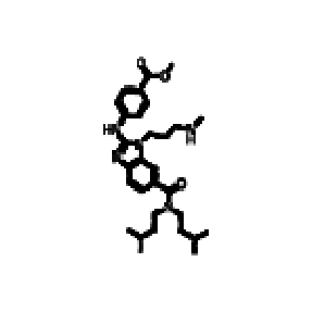 CNCCCn1c(Nc2ccc(C(=O)OC)cc2)nc2ccc(C(=O)N(CCC(C)C)CCC(C)C)cc21